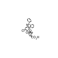 COc1c(Cl)cc(N=C(c2ccccc2)c2ccccc2)nc1OC1CCN(C(=O)O)C1